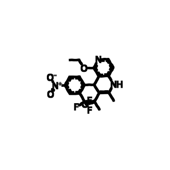 CCOc1nccc2c1C(c1ccc([N+](=O)[O-])cc1C(F)(F)F)C(C(C)=O)=C(C)N2